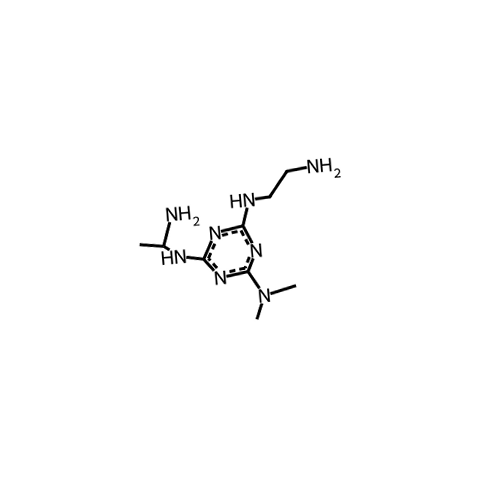 CC(N)Nc1nc(NCCN)nc(N(C)C)n1